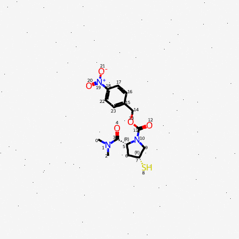 CN(C)C(=O)[C@H]1C[C@@H](S)CN1C(=O)OCc1ccc([N+](=O)[O-])cc1